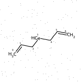 C=C[CH2][GeH][CH2]C=C